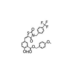 COc1ccc(COC(=O)c2cc(C=C3SC(=O)N(Cc4ccc(C(F)(F)F)cc4)C3=O)ccc2O)cc1